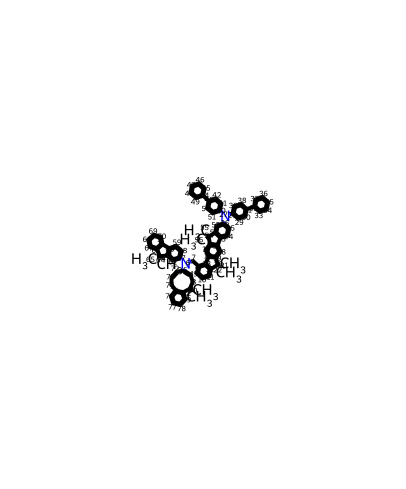 CC1(C)C/C=C(N(Cc2cccc3c2-c2cc4c(cc2C3(C)C)-c2ccc(N(c3ccc(-c5ccccc5)cc3)c3ccc(-c5ccccc5)cc3)cc2C4(C)C)c2ccc3c(c2)C(C)(C)c2ccccc2-3)\C=C/Cc2ccccc21